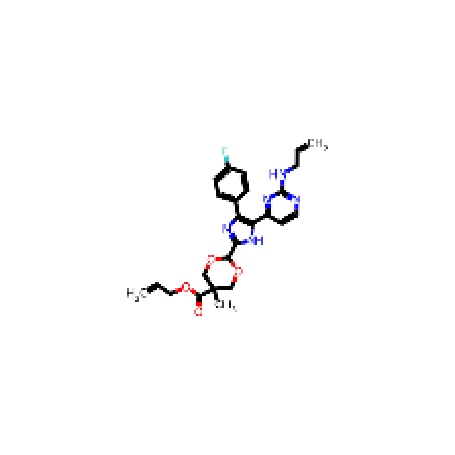 C=CCNc1nccc(-c2[nH]c(C3OCC(C)(C(=O)OCC=C)CO3)nc2-c2ccc(F)cc2)n1